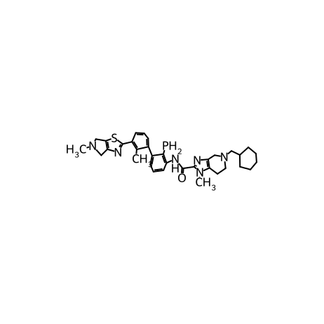 Cc1c(-c2nc3c(s2)CN(C)C3)cccc1-c1cccc(NC(=O)c2nc3c(n2C)CCN(CC2CCCCC2)C3)c1P